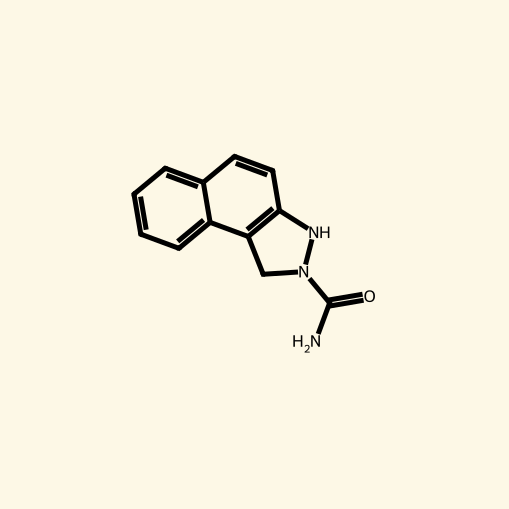 NC(=O)N1Cc2c(ccc3ccccc23)N1